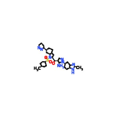 Cc1ccc(S(=O)(=O)n2c(C(=O)c3cnn(-c4ccc5[nH]c(C)nc5c4)c3N)cc3ccc(-c4cccnn4)cc32)cc1